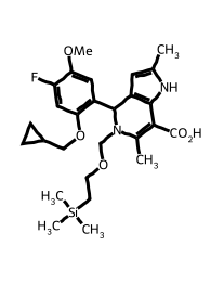 COc1cc(C2c3cc(C)[nH]c3C(C(=O)O)=C(C)N2COCC[Si](C)(C)C)c(OCC2CC2)cc1F